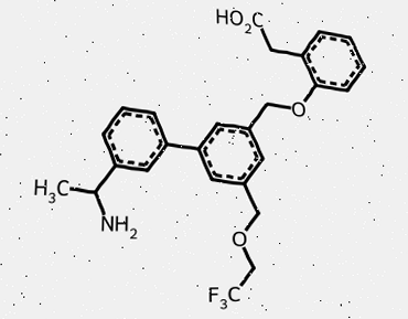 CC(N)c1cccc(-c2cc(COCC(F)(F)F)cc(COc3ccccc3CC(=O)O)c2)c1